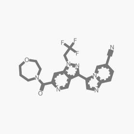 N#Cc1ccc2ncc(-c3nn(CC(F)(F)F)c4cc(C(=O)N5CCCOCC5)ncc34)n2c1